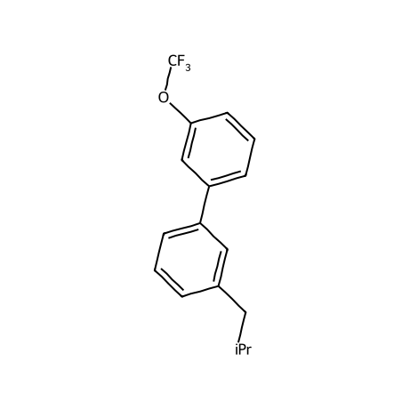 CC(C)Cc1cccc(-c2cccc(OC(F)(F)F)c2)c1